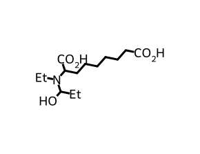 CCC(O)N(CC)C(CCCCCCC(=O)O)C(=O)O